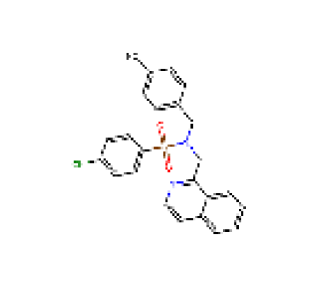 N#Cc1ccc(CN(Cc2nccc3ccccc23)S(=O)(=O)c2ccc(Cl)cc2)cc1